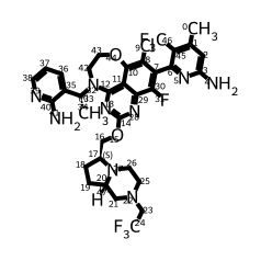 Cc1cc(N)nc(-c2c(Cl)c3c4c(nc(OC[C@@H]5CC[C@H]6CN(CC(F)(F)F)CCN56)nc4c2F)N([C@H](C)c2cccnc2N)CCO3)c1C(F)(F)F